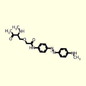 CNc1ccc(/N=N/c2ccc(NC(=O)COCC(NC)C(C)=O)cc2)cc1